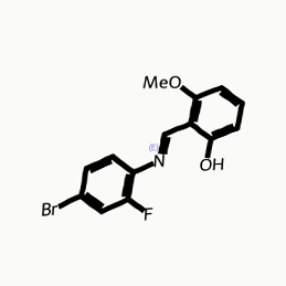 COc1cccc(O)c1/C=N/c1ccc(Br)cc1F